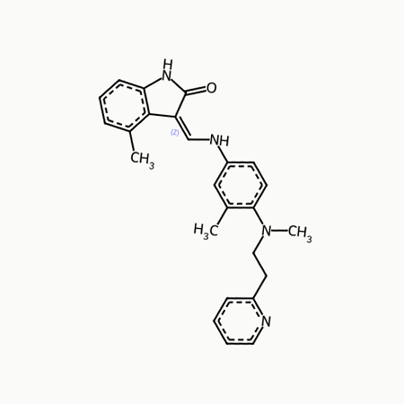 Cc1cc(N/C=C2\C(=O)Nc3cccc(C)c32)ccc1N(C)CCc1ccccn1